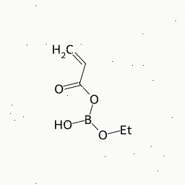 C=CC(=O)OB(O)OCC